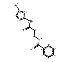 CC(C)c1cnc(NC(=O)CCCC(=O)c2ccccc2)s1